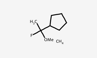 C.COC(C)(F)C1CCCC1